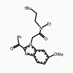 CCN(CCC(C)(C)C)C(=O)Cn1c(C(=O)C(C)C)nc2ccc(OC)cc21